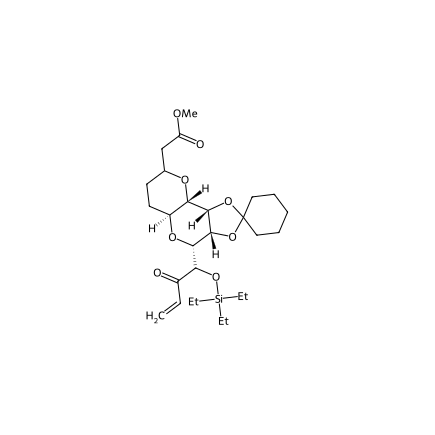 C=CC(=O)C(O[Si](CC)(CC)CC)[C@@H]1O[C@H]2CCC(CC(=O)OC)O[C@@H]2[C@@H]2OC3(CCCCC3)O[C@@H]21